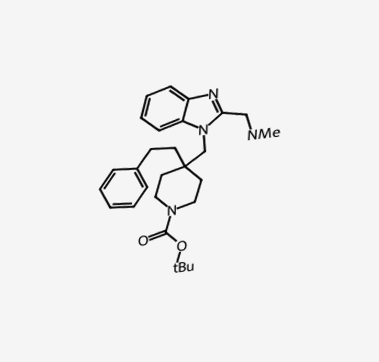 CNCc1nc2ccccc2n1CC1(CCc2ccccc2)CCN(C(=O)OC(C)(C)C)CC1